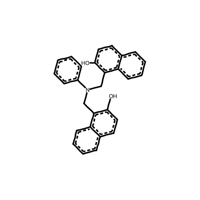 Oc1ccc2ccccc2c1CN(Cc1c(O)ccc2ccccc12)c1ccccc1